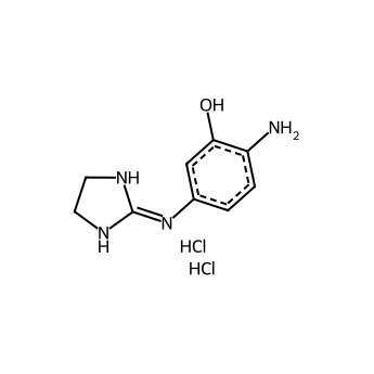 Cl.Cl.Nc1ccc(N=C2NCCN2)cc1O